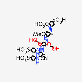 COc1cc(/N=N/c2ccc(S(=O)(=O)O)cc2C(=O)O)c(C)cc1/N=N/c1cc(OCCO)c(/N=N/c2c(Nc3ccc(S(=O)(=O)O)cc3)nc(Nc3ccc(S(=O)(=O)O)cc3)c(C#N)c2C)cc1OCCO